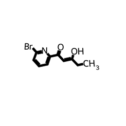 CC/C(O)=C/C(=O)c1cccc(Br)n1